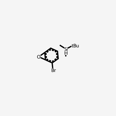 Brc1cccc2c1O2.C[SiH](C)C(C)(C)C